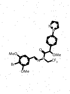 COc1cc(C=NN(CC(F)(F)F)C(=O)C(OC)c2ccc(-n3cccn3)cc2)cc(OC)c1Br